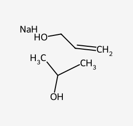 C=CCO.CC(C)O.[NaH]